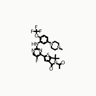 CC(=O)N1C(=O)c2cc(-c3nc(Nc4cc(N5CCN(C)CC5)ccc4OC(F)(F)F)ncc3F)sc2C1(C)C